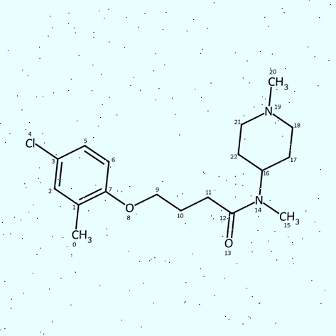 Cc1cc(Cl)ccc1OCCCC(=O)N(C)C1CCN(C)CC1